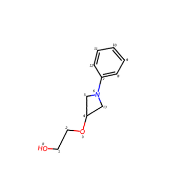 OCCOC1CN(c2cc[c]cc2)C1